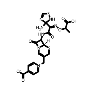 CC(O/N=C(\C(=O)NC1C(=O)N2C=C(C[n+]3ccc(C(=O)[O-])cc3)CS[C@H]12)C1(N)N=CSN1)C(=O)O